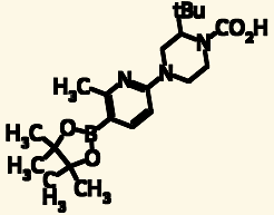 Cc1nc(N2CCN(C(=O)O)C(C(C)(C)C)C2)ccc1B1OC(C)(C)C(C)(C)O1